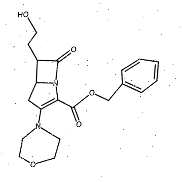 O=C(OCc1ccccc1)C1=C(N2CCOCC2)CC2C(CCO)C(=O)N12